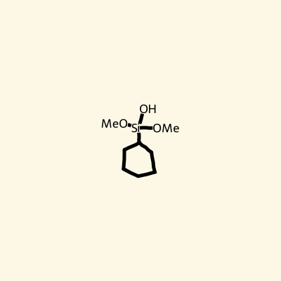 CO[Si](O)(OC)C1CCCCC1